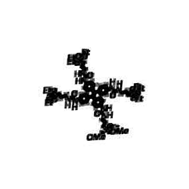 CCO[Si](CCCNC(=O)Nc1ccc(C(=C(c2ccc(NC(=O)NCCC[Si](OCC)(OCC)OCC)cc2)c2ccc(NC(=O)NCCC[Si](OCC)(OCC)OCC)cc2)c2ccc(NC(=O)NCCC[Si](OCC)(OCC)OCC)cc2)cc1)(COC)COC